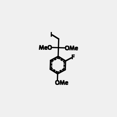 COc1ccc(C(CI)(OC)OC)c(F)c1